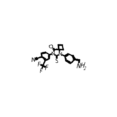 N#Cc1ccc(N2C(=O)C3(CCC3)N(c3ccc(CN)cc3)C2=S)cc1C(F)(F)F